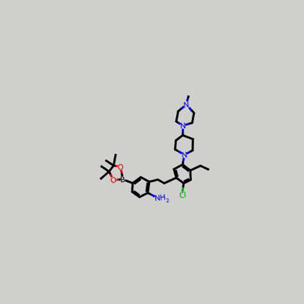 CCc1cc(Cl)c(CCc2cc(B3OC(C)(C)C(C)(C)O3)ccc2N)cc1N1CCC(N2CCN(C)CC2)CC1